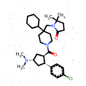 CN(C)[C@@H]1C[C@@H](C(=O)N2CCC(CN3C(=O)CCC3(C)C)(C3CCCCC3)CC2)[C@H](c2ccc(Cl)cc2)C1